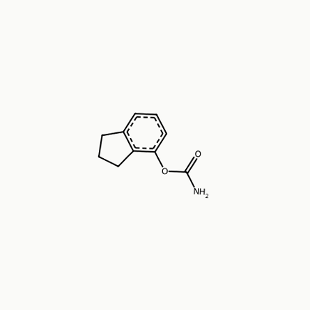 NC(=O)Oc1cccc2c1CCC2